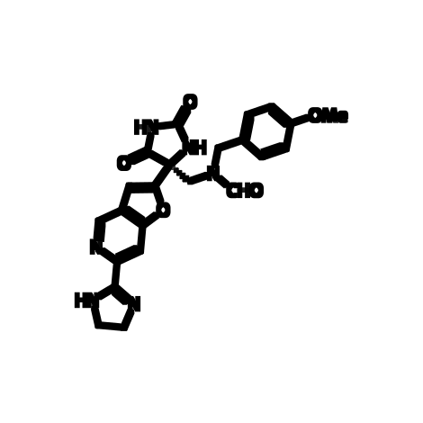 COc1ccc(CN(C=O)C[C@@]2(c3cc4cnc(C5=NCCN5)cc4o3)NC(=O)NC2=O)cc1